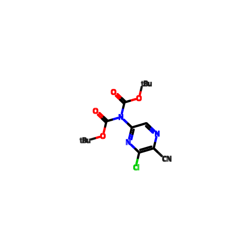 CC(C)(C)OC(=O)N(C(=O)OC(C)(C)C)c1cnc(C#N)c(Cl)n1